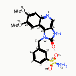 COc1cc2ncc3[nH]c(=O)n(Cc4cccc(S(N)(=O)=O)c4)c3c2cc1OC